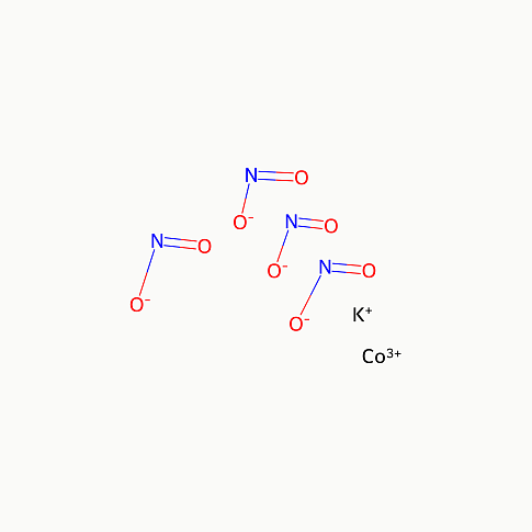 O=N[O-].O=N[O-].O=N[O-].O=N[O-].[Co+3].[K+]